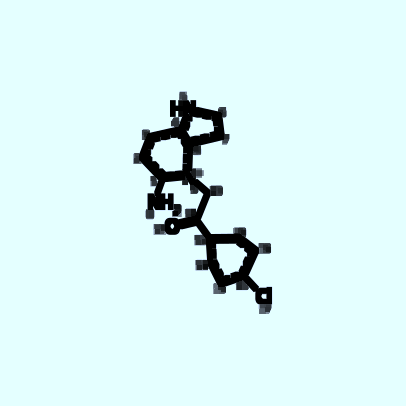 Nc1ccc2[nH]ccc2[n+]1CC(=O)c1ccc(Cl)cc1